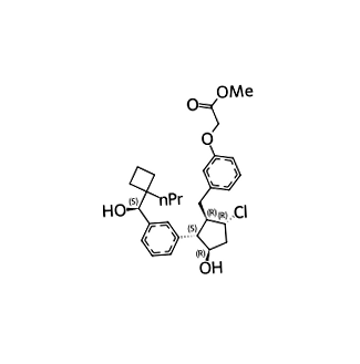 CCCC1([C@H](O)c2cccc([C@@H]3[C@@H](Cc4cccc(OCC(=O)OC)c4)[C@H](Cl)C[C@H]3O)c2)CCC1